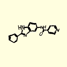 O=C(Nc1ccc2[nH]c(-c3ccccc3)nc2c1)c1ccncc1